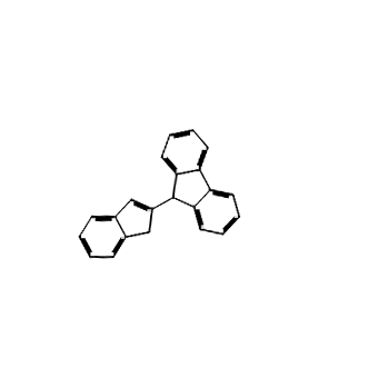 [CH]1C(C2c3ccccc3-c3ccccc32)=Cc2ccccc21